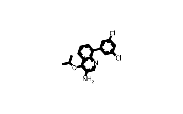 CC(C)Oc1c(N)cnc2c(-c3cc(Cl)cc(Cl)c3)cccc12